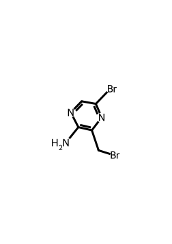 Nc1ncc(Br)nc1CBr